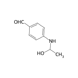 CC(O)Nc1ccc(C=O)cc1